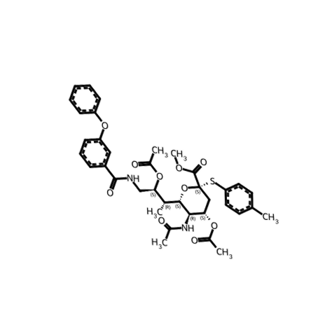 COC(=O)[C@@]1(Sc2ccc(C)cc2)C[C@H](OC(C)=O)[C@@H](NC(C)=O)[C@H]([C@H](C)[C@@H](CNC(=O)c2cccc(Oc3ccccc3)c2)OC(C)=O)O1